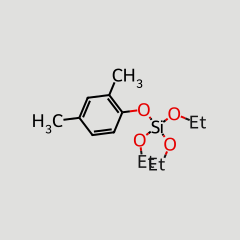 CCO[Si](OCC)(OCC)Oc1ccc(C)cc1C